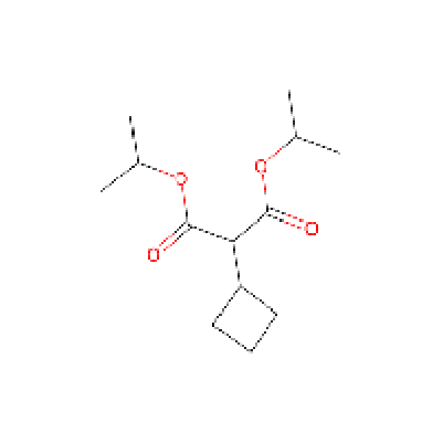 CC(C)OC(=O)C(C(=O)OC(C)C)C1CCC1